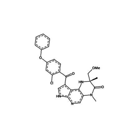 COC[C@@]1(C)Nc2c(cnc3[nH]cc(C(=O)c4ccc(Oc5ccccc5)cc4Cl)c23)N(C)C1=O